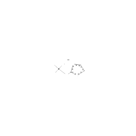 CC(C)=O.CCC(O)(O)Oc1nccs1